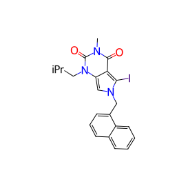 CC(C)Cn1c(=O)n(C)c(=O)c2c(I)n(Cc3cccc4ccccc34)cc21